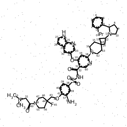 CC(C)c1ccccc1C1CCCN1C1CC2(CCN(c3cc(Oc4cnc5[nH]ccc5c4)c(C(=O)NS(=O)(=O)c4ccc(OCC5(F)CCN(C(=O)CN(C)C)CC5)c(N)c4)cn3)CC2)C1